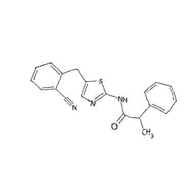 CC(C(=O)Nc1ncc(Cc2ccccc2C#N)s1)c1ccccc1